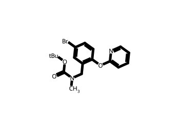 CN(Cc1cc(Br)ccc1Oc1ccccn1)C(=O)OC(C)(C)C